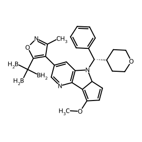 BC(B)(B)c1onc(C)c1-c1cnc2c(c1)N([C@H](c1ccccc1)C1CCOCC1)C1C=CC(OC)=C21